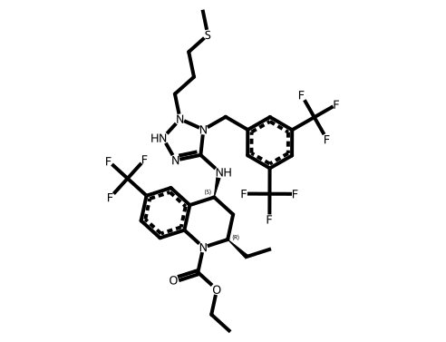 CCOC(=O)N1c2ccc(C(F)(F)F)cc2[C@@H](NC2=NNN(CCCSC)N2Cc2cc(C(F)(F)F)cc(C(F)(F)F)c2)C[C@H]1CC